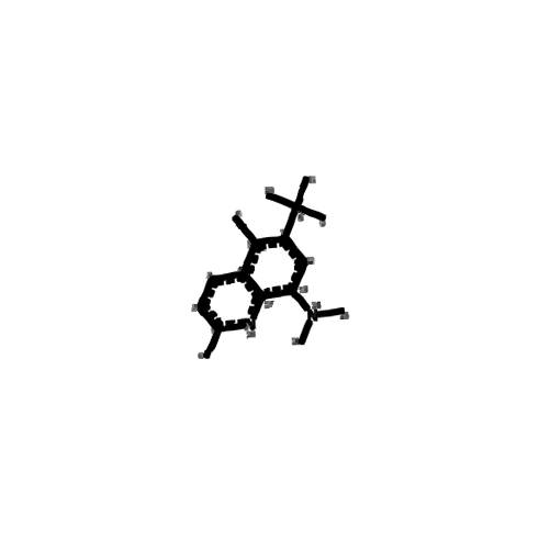 Cc1ccc2c(C)c(C(C)(C)C)cc(N(C)C)c2n1